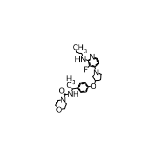 CCCNc1nccc(N2CCC(Oc3ccc([C@H](C)NC(=O)N4CCOCC4)cc3)C2)c1F